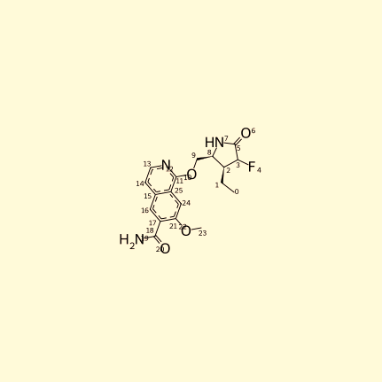 CC[C@@H]1C(F)C(=O)N[C@@H]1COc1nccc2cc(C(N)=O)c(OC)cc12